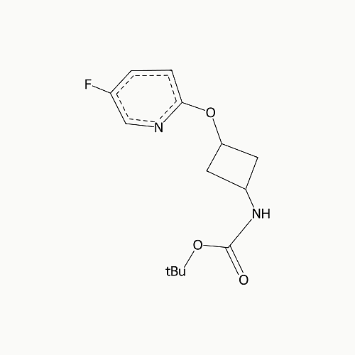 CC(C)(C)OC(=O)NC1CC(Oc2ccc(F)cn2)C1